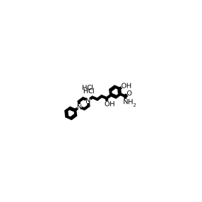 Cl.Cl.NC(=O)c1cc(C(O)CCCN2CCN(c3ccccc3)CC2)ccc1O